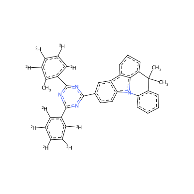 [2H]c1c([2H])c([2H])c(-c2nc(-c3ccc4c(c3)c3cccc5c3n4-c3ccccc3C5(C)C)nc(-c3c([2H])c([2H])c([2H])c([2H])c3C)n2)c([2H])c1[2H]